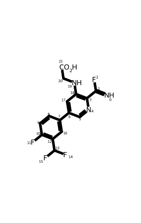 N=C(F)c1ncc(-c2ccc(F)c(C(F)F)c2)cc1NCC(=O)O